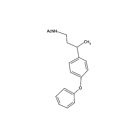 CC(=O)NCCC(C)c1ccc(Oc2ccccc2)cc1